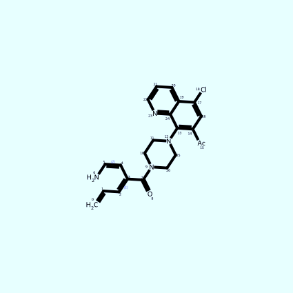 C=C/C=C(\C=C/N)C(=O)N1CCN(c2c(C(C)=O)cc(Cl)c3cccnc23)CC1